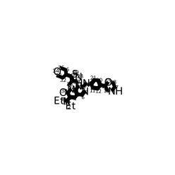 CCN(CC)c1cc2cnc(Nc3ccc(C4CNCCO4)cc3)nc2n(Cc2cnsc2C2CCOCC2)c1=O